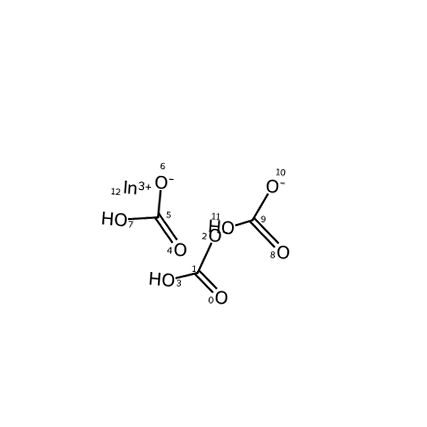 O=C([O-])O.O=C([O-])O.O=C([O-])O.[In+3]